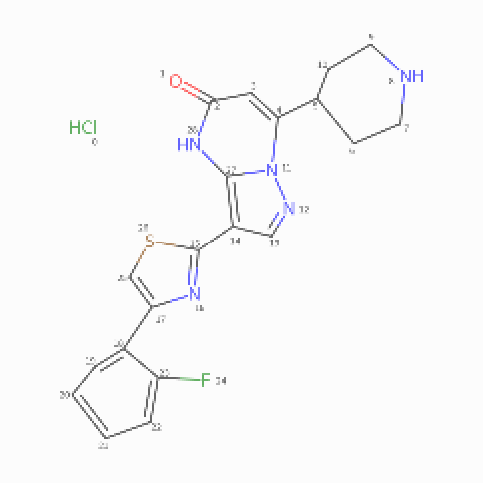 Cl.O=c1cc(C2CCNCC2)n2ncc(-c3nc(-c4ccccc4F)cs3)c2[nH]1